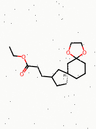 CCOC(=O)CCC1CC[C@]2(CCCC3(C2)OCCO3)C1